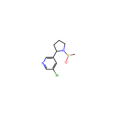 C[S+]([O-])N1CCCC1c1cncc(Br)c1